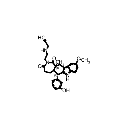 C#CCNCCN1C(=O)CCC2[C@H](c3cccc(O)c3)c3[nH]c4ccc(OC)cc4c3C[C@@]2(C)C1=O